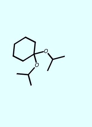 CC(C)OC1(OC(C)C)CCCCC1